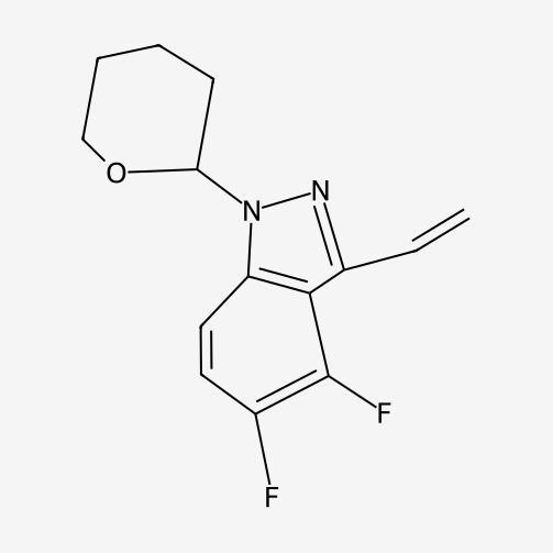 C=Cc1nn(C2CCCCO2)c2ccc(F)c(F)c12